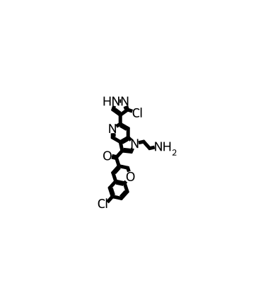 NCCn1cc(C(=O)C2=Cc3cc(Cl)ccc3OC2)c2cnc(-c3c[nH]nc3Cl)cc21